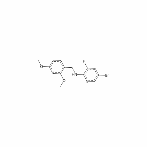 COc1ccc(CNc2ncc(Br)cc2F)c(OC)c1